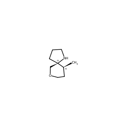 C[C@H]1CCOC[C@]12CCCN2